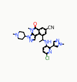 CC(Nc1ccc(Cl)nc1-c1cnn(C)c1)c1cc(C#N)cc2c(=O)n(C)c3c(cnn3C3CCN(C)CC3)c12